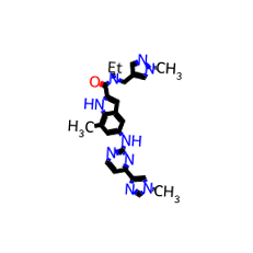 CCN(Cc1cnn(C)c1)C(=O)c1cc2cc(Nc3nccc(-c4cn(C)cn4)n3)cc(C)c2[nH]1